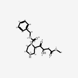 COC(=O)CC(O)C(=O)C1CNCCN1C(=O)OCc1ccccc1